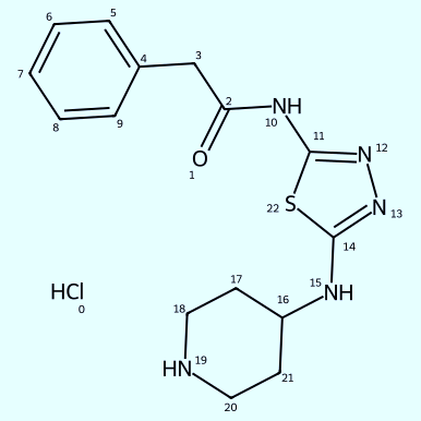 Cl.O=C(Cc1ccccc1)Nc1nnc(NC2CCNCC2)s1